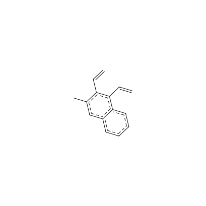 C=Cc1c(C)cc2ccccc2c1C=C